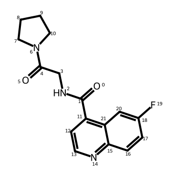 O=C(NCC(=O)N1CCCC1)c1ccnc2ccc(F)cc12